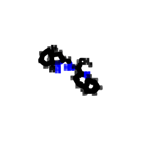 CC(NC[C@@H]1C[C@@H]2CCCC[C@@H]2N1)c1ccc2ccccc2n1